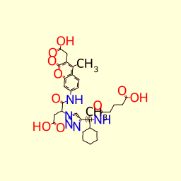 Cc1c(CC(=O)O)c(=O)oc2cc(NC(=O)C(CC(=O)O)n3cc([C@@](C)(NC(=O)CCCC(=O)O)C4CCCCC4)nn3)ccc12